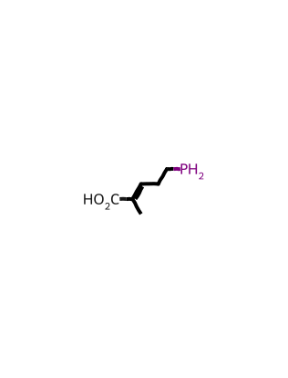 CC(=CCCP)C(=O)O